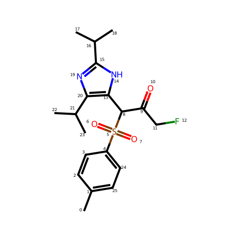 Cc1ccc(S(=O)(=O)C(C(=O)CF)c2[nH]c(C(C)C)nc2C(C)C)cc1